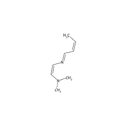 C\C=C/C=N/C=C\N(C)C